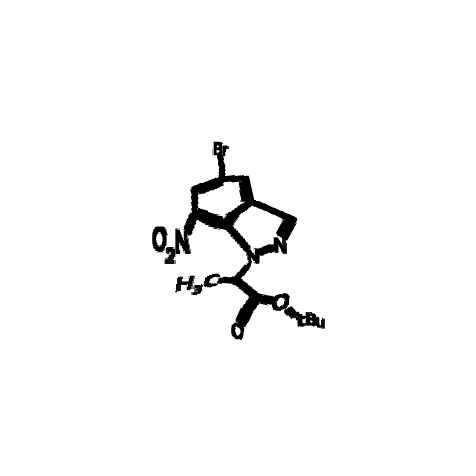 CC(C(=O)OC(C)(C)C)n1ncc2cc(Br)cc([N+](=O)[O-])c21